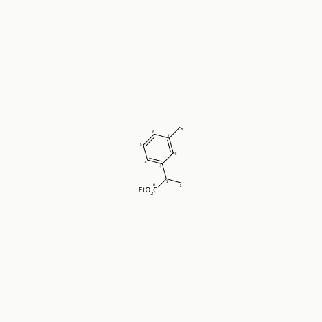 CCOC(=O)C(C)c1cccc(C)c1